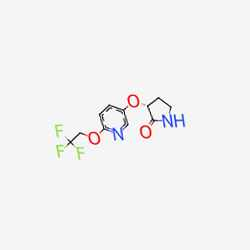 O=C1NCC[C@H]1Oc1ccc(OCC(F)(F)F)nc1